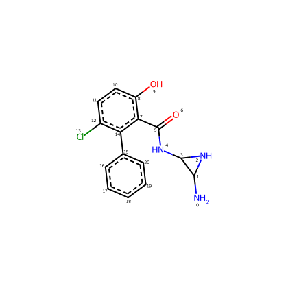 NC1NC1NC(=O)c1c(O)ccc(Cl)c1-c1ccccc1